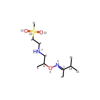 C/C(=N\OC(C)CNCCS(C)(=O)=O)C(C)C